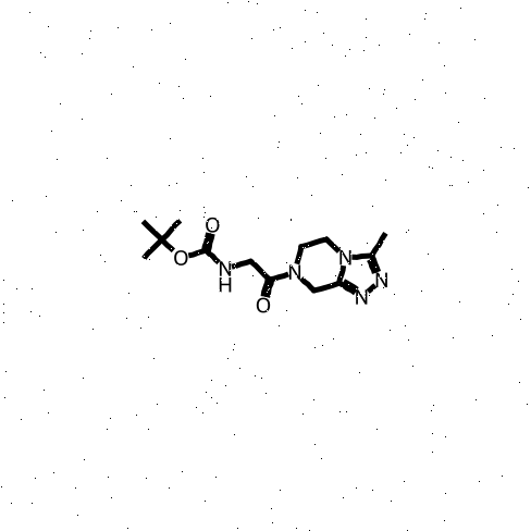 Cc1nnc2n1CCN(C(=O)CNC(=O)OC(C)(C)C)C2